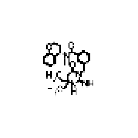 CCC1(CC)CC(=O)N(Cc2cccc(C(=O)N[C@H]3CCOc4ccccc43)c2)C(=N)N1